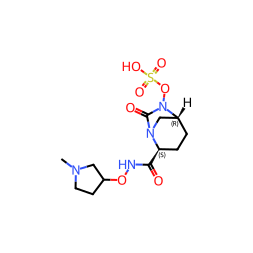 CN1CCC(ONC(=O)[C@@H]2CC[C@@H]3CN2C(=O)N3OS(=O)(=O)O)C1